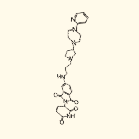 O=C1CCC(N2C(=O)c3ccc(NCCCN4CCC(N5CCN(c6ccccn6)CC5)C4)cc3C2=O)C(=O)N1